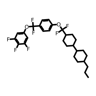 CCCC1CCC(C2CCC(C(F)(F)Oc3ccc(C(F)(F)Oc4cc(F)c(F)c(F)c4)cc3)CC2)CC1